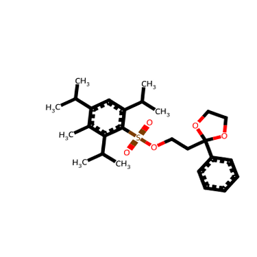 Cc1c(C(C)C)cc(C(C)C)c(S(=O)(=O)OCCC2(c3ccccc3)OCCO2)c1C(C)C